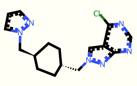 Clc1ncnc2nn(C[C@H]3CC[C@H](Cn4cccn4)CC3)cc12